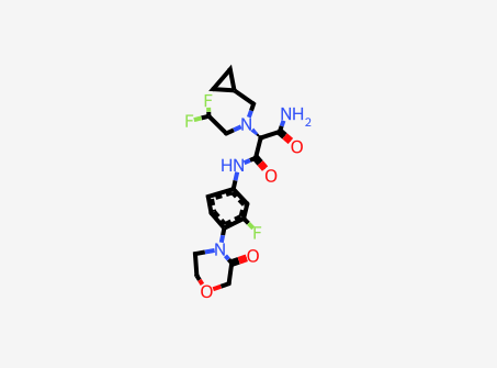 NC(=O)[C@@H](C(=O)Nc1ccc(N2CCOCC2=O)c(F)c1)N(CC(F)F)CC1CC1